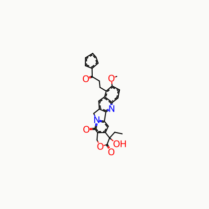 CCC1(O)C(=O)OCc2c1cc1n(c2=O)Cc2cc3c(CCC(=O)c4ccccc4)c(OC)ccc3nc2-1